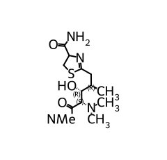 CNC(=O)[C@H]([C@H](O)[C@H](C)CC1=NC(C(N)=O)CS1)N(C)C